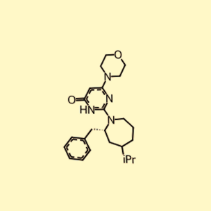 CC(C)C1CCCN(c2nc(N3CCOCC3)cc(=O)[nH]2)[C@@H](Cc2ccccc2)C1